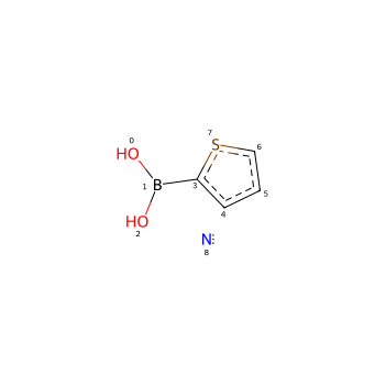 OB(O)c1cccs1.[N]